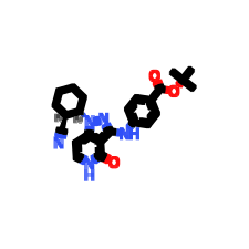 CC(C)(C)OC(=O)c1ccc(Nc2nn([C@H]3CCCC[C@@H]3C#N)c3cc[nH]c(=O)c23)cc1